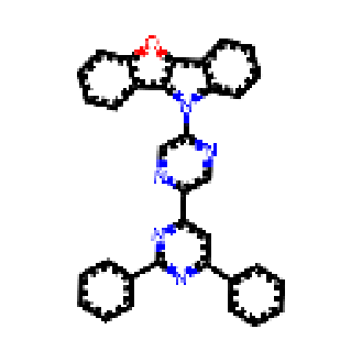 c1ccc(-c2cc(-c3cnc(-n4c5ccccc5c5oc6ccccc6c54)cn3)nc(-c3ccccc3)n2)cc1